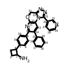 NC1CCC1c1ccc(-c2nc3c(cc2-c2ccccc2)-n2c(nnc2-c2cccnc2)CO3)cc1